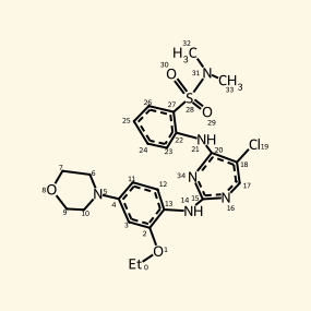 CCOc1cc(N2CCOCC2)ccc1Nc1ncc(Cl)c(Nc2ccccc2S(=O)(=O)N(C)C)n1